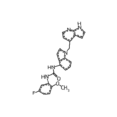 COc1ccc(F)cc1NC(=O)Nc1cccc2c1ccn2Cc1ccnc2[nH]ccc12